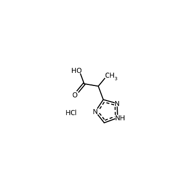 CC(C(=O)O)c1nc[nH]n1.Cl